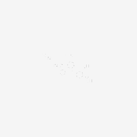 COc1ccc(Oc2ccc(C(C)C)cc2-c2ccsc2[S+]([O-])NCCNC=O)cc1OC